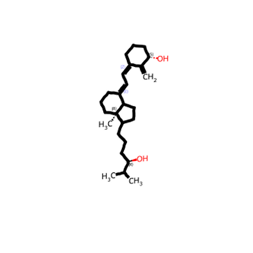 C=C1/C(=C\C=C2/CCC[C@]3(C)C(CCC[C@@H](O)C(C)C)CCC23)CCC[C@@H]1O